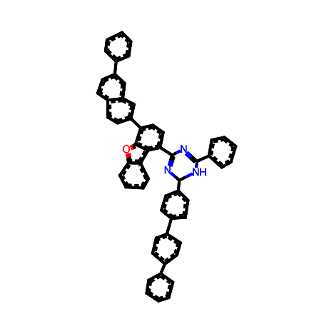 c1ccc(C2=NC(c3ccc(-c4ccc5ccc(-c6ccccc6)cc5c4)c4oc5ccccc5c34)=NC(c3ccc(-c4ccc(-c5ccccc5)cc4)cc3)N2)cc1